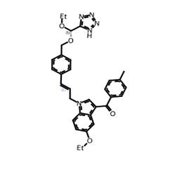 CCOc1ccc2c(c1)c(C(=O)c1ccc(C)cc1)cn2C/C=C/c1ccc(CO[C@H](OCC)c2nnn[nH]2)cc1